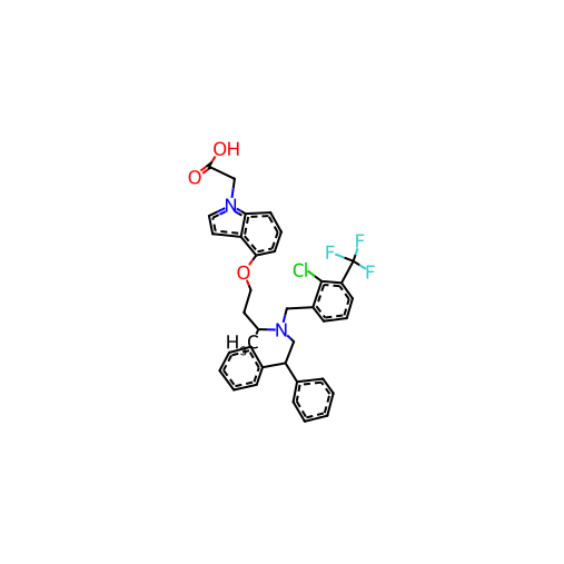 CC(CCOc1cccc2c1ccn2CC(=O)O)N(Cc1cccc(C(F)(F)F)c1Cl)CC(c1ccccc1)c1ccccc1